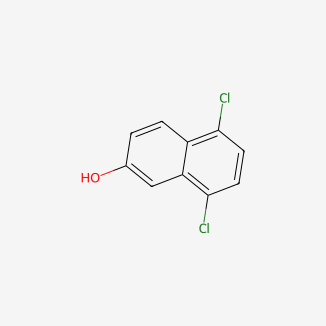 Oc1ccc2c(Cl)ccc(Cl)c2c1